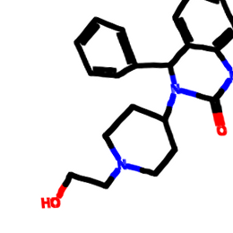 O=C1Nc2ccccc2C(c2ccccc2)N1C1CCN(CCO)CC1